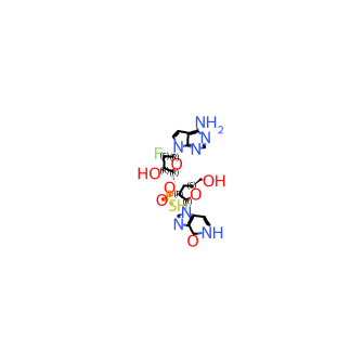 Nc1ncnc2c1ccn2[C@@H]1O[C@H](COP(=O)(S)[C@@H]2C[C@@H](CO)O[C@H]2n2cnc3c(=O)[nH]ccc32)[C@@H](O)[C@@H]1F